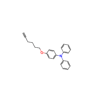 C#CCCCCOc1ccc(N(c2ccccc2)c2ccccc2)cc1